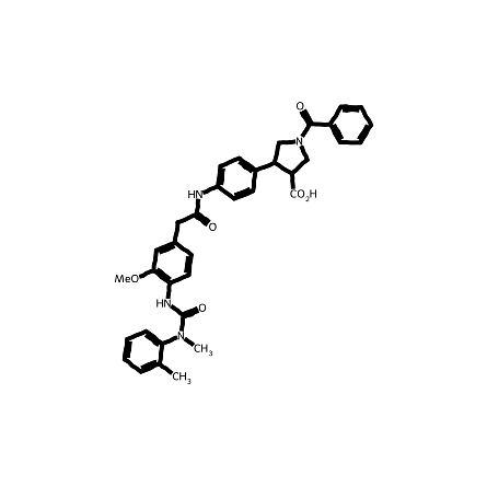 COc1cc(CC(=O)Nc2ccc(C3CN(C(=O)c4ccccc4)CC3C(=O)O)cc2)ccc1NC(=O)N(C)c1ccccc1C